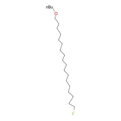 CCCCOCCCCCCCCCCCCCCCCCCF